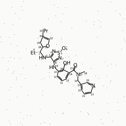 CC[C@@H](Nc1n[s+]([O-])nc1Nc1cccc(C(=O)N(C)Cc2cccnc2)c1O)C1CC(C(C)C)=CO1